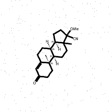 COC1(C#N)CC[C@@H]2[C@@H]3CCC4=CC(=O)CC[C@]4(C)[C@@H]3CCC21C